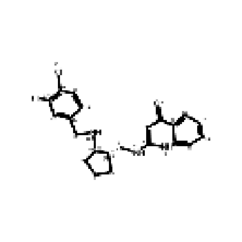 O=c1cc(NC[C@@H]2CCC[C@H]2NCc2ccc(Cl)c(Cl)c2)[nH]c2ccccc12